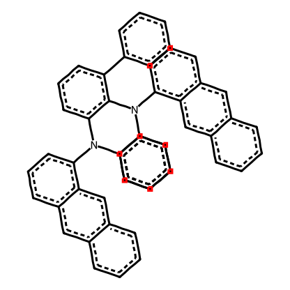 c1ccc(-c2cccc(N(c3ccccc3)c3cccc4cc5ccccc5cc34)c2N(c2ccccc2)c2cccc3cc4ccccc4cc23)cc1